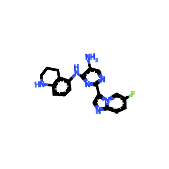 Nc1cnc(-c2cnc3ccc(F)cn23)nc1Nc1cccc2c1CCCN2